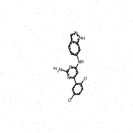 Nc1nc(Nc2ccc3cn[nH]c3c2)cc(-c2cc(Cl)ccc2Cl)n1